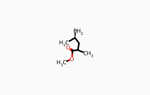 B[C@H](C)CC(C)C(=O)OC